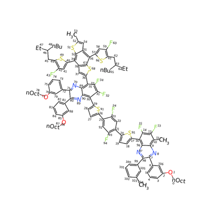 CCCCCCCCOc1cccc(-c2nc3c(C)c(F)c(F)c(-c4ccc(-c5cc(F)c(-c6ccc(-c7c(F)c(F)c(-c8cc9c(-c%10cc(F)c(CC(CC)CCCC)s%10)c%10sc(C)cc%10c(-c%10cc(F)c(CC(CC)CCCC)s%10)c9s8)c8nc(-c9cccc(OCCCCCCCC)c9)c(-c9cccc(OCCCCCCCC)c9)nc78)s6)cc5F)s4)c3nc2-c2cccc(C)c2)c1